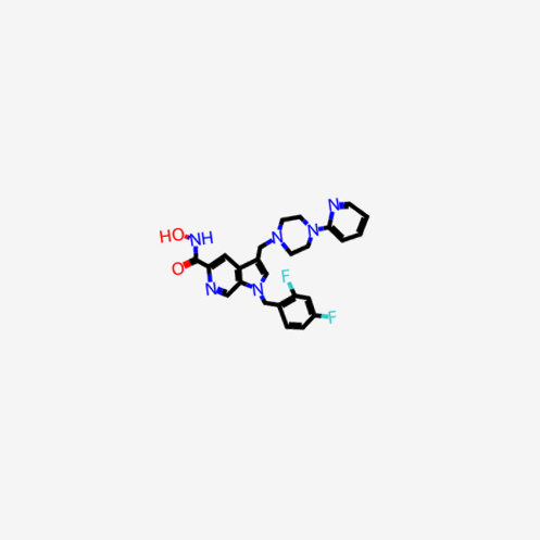 O=C(NO)c1cc2c(CN3CCN(c4ccccn4)CC3)cn(Cc3ccc(F)cc3F)c2cn1